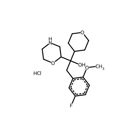 COc1ccc(F)cc1CC(O)(C1CCOCC1)C1CNCCO1.Cl